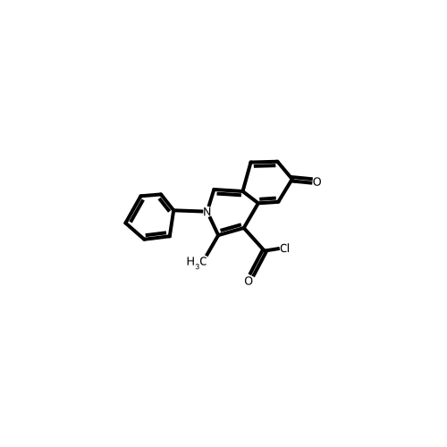 Cc1c(C(=O)Cl)c2cc(=O)ccc-2cn1-c1ccccc1